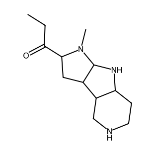 CCC(=O)C1CC2C3CNCCC3NC2N1C